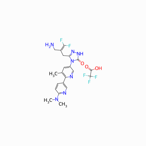 Cc1cc(-n2c(CC(CN)=C(F)F)n[nH]c2=O)cnc1-c1ccc(N(C)C)nc1.O=C(O)C(F)(F)F